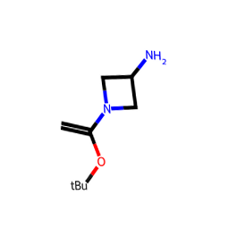 C=C(OC(C)(C)C)N1CC(N)C1